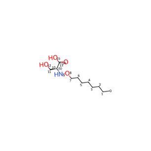 CCCCCCCCON[C@@H](CO)C(=O)O